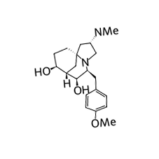 CN[C@@H]1CN2[C@@H](Cc3ccc(OC)cc3)[C@@H](O)[C@H]3C[C@@]2(CC[C@@H]3O)C1